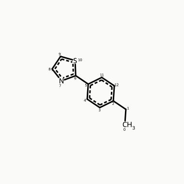 CCc1ccc(-c2n[c]cs2)cc1